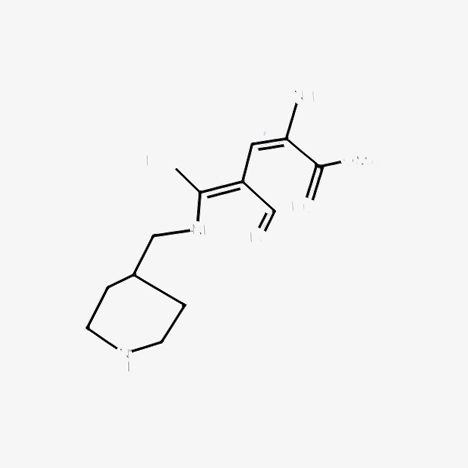 B=CC(/C=C(/N)C(=C)OC)=C(/C)NCC1CCNCC1